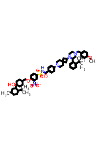 COc1ccc(CN2CCN(C3CC4(CCN(c5ccc(C(=O)NS(=O)(=O)c6ccc(OCC7CCC(O)(C8CC(C)CCC8C(C)C)CC7)c([N+](=O)[O-])c6)cc5)CC4)C3)C(c3ccccc3C(C)C)C2)cc1